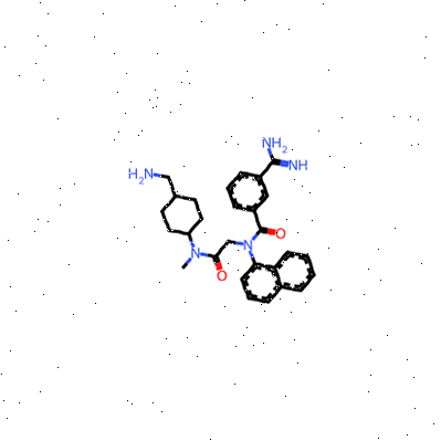 CN(C(=O)CN(C(=O)c1cccc(C(=N)N)c1)c1cccc2ccccc12)C1CCC(CN)CC1